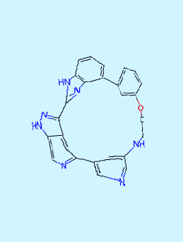 c1cc2cc(c1)-c1cccc3[nH]c(nc13)-c1n[nH]c3cnc(cc13)-c1cncc(c1)NCCO2